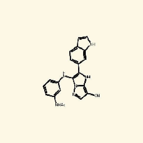 CC(=O)Nc1cccc(Nc2c(-c3ccc4cc[nH]c4c3)[nH]c3c(C#N)cnn23)c1